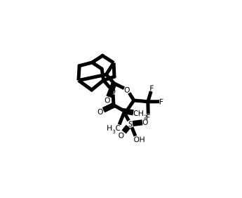 C=C(C)C(=O)OC12CC3CC(C1)C(C(=O)OC(CS(=O)(=O)O)C(F)(F)F)C(C3)C2